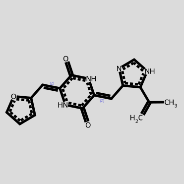 C=C(C)c1[nH]cnc1/C=c1\[nH]c(=O)/c(=C/c2ccco2)[nH]c1=O